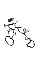 CC(CC(=O)OCc1ccccc1)c1c(F)c(F)c(F)c(F)c1OC1CC/C=C\CCC1